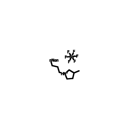 CCCCCCCCCCCC[NH+]1CCC(C)C1.[F][Sb-]([F])([F])([F])([F])[F]